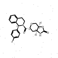 O=C1N[C@H]2C[C@H](C(=O)N3CCc4ccccc4[C@@H]3c3ccc(F)cc3)OC[C@H]2O1